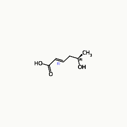 C[C@@H](O)C/C=C/C(=O)O